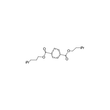 CC(C)CCCOC(=O)c1ccc(C(=O)OCCC(C)C)cc1